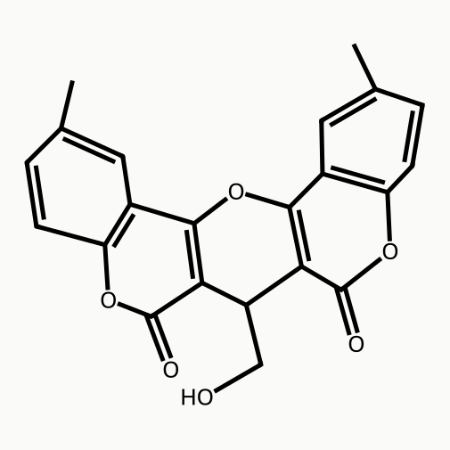 Cc1ccc2oc(=O)c3c(c2c1)Oc1c(c(=O)oc2ccc(C)cc12)C3CO